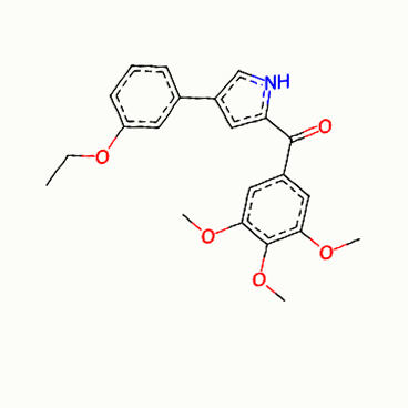 CCOc1cccc(-c2c[nH]c(C(=O)c3cc(OC)c(OC)c(OC)c3)c2)c1